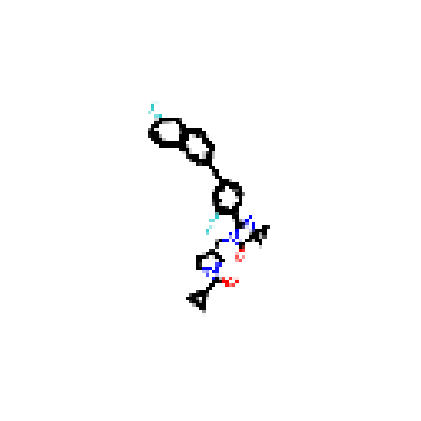 O=C(C1CC1)N1CC[C@@H](CN2C(=O)C3(CC3)N=C2c2ccc(-c3ccc4c(c3)C=CC(F)C4)cc2F)C1